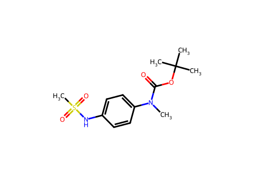 CN(C(=O)OC(C)(C)C)c1ccc(NS(C)(=O)=O)cc1